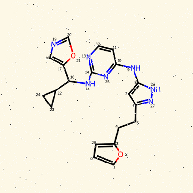 c1coc(CCc2cc(Nc3ccnc(NC(c4cnco4)C4CC4)n3)[nH]n2)c1